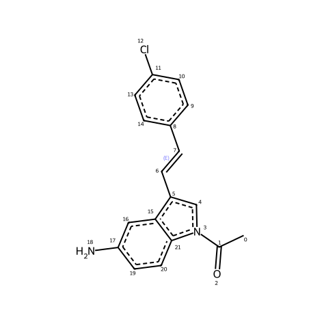 CC(=O)n1cc(/C=C/c2ccc(Cl)cc2)c2cc(N)ccc21